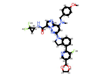 COc1ccc(CN(C)c2cc(N3CCc4c(-c5ncc(C6OCCO6)cc5F)cccc43)nn3c(C(=O)N[C@@H]4CC4(F)F)cnc23)cc1